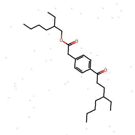 CCCCC(CC)CCC(=O)c1ccc(CC(=O)OCC(CC)CCCC)cc1